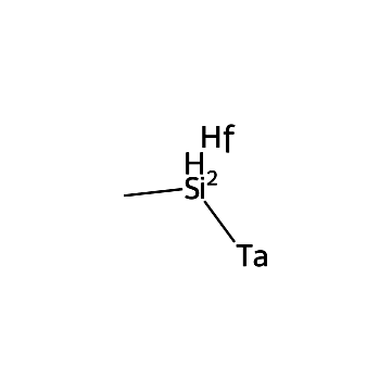 C[SiH2][Ta].[Hf]